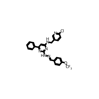 FC(F)(F)Oc1ccc(/C=N/Nc2nc(NCc3ccc(Cl)nc3)cc(-c3ccccc3)n2)cc1